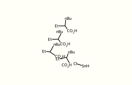 CCCCC(CC)C(=O)O.CCCCC(CC)C(=O)O.CCCCC(CC)C(=O)O.CCCCC(CC)C(=O)O.[Cl][SnH]